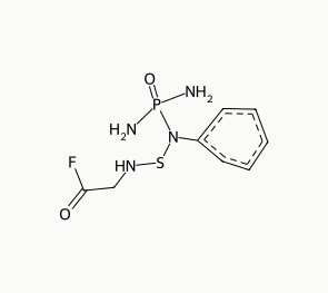 NP(N)(=O)N(SNCC(=O)F)c1ccccc1